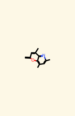 C=C1C=C(C)c2nc(C)cc(C)c2O1